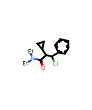 CCN(CC)C(=O)C(C1CC1)C(Cl)c1ccccc1